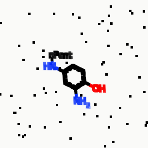 CCCCCNc1ccc(O)c(N)c1